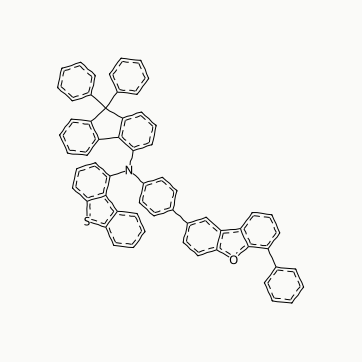 c1ccc(-c2cccc3c2oc2ccc(-c4ccc(N(c5cccc6c5-c5ccccc5C6(c5ccccc5)c5ccccc5)c5cccc6sc7ccccc7c56)cc4)cc23)cc1